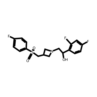 O=S(=O)(CC1CN(CC(O)c2ccc(F)cc2F)C1)c1ccc(F)cc1